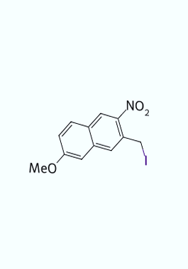 COc1ccc2cc([N+](=O)[O-])c(CI)cc2c1